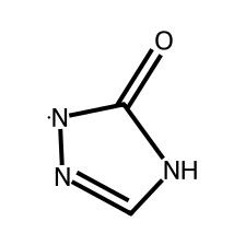 O=C1[N]N=CN1